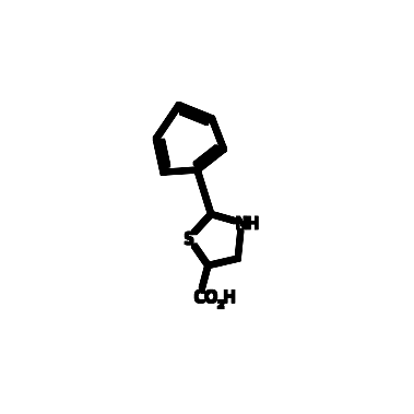 O=C(O)C1CNC(c2ccccc2)S1